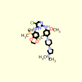 COc1cc(N2CCC(N3CC[C@H](N(C)C)C3)CC2)c(C)cc1Nc1ncc(Cl)c(Nc2ccc3c(c2P(C)C)OCCO3)n1